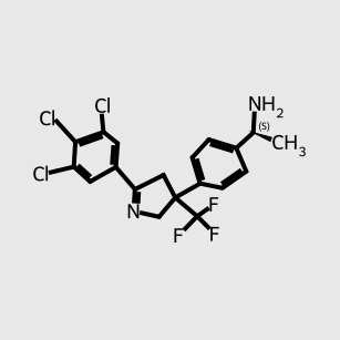 C[C@H](N)c1ccc(C2(C(F)(F)F)CN=C(c3cc(Cl)c(Cl)c(Cl)c3)C2)cc1